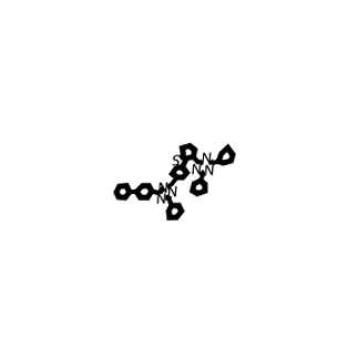 c1ccc(-c2ccc(-c3nc(-c4ccccc4)nc(-c4ccc5c(c4)sc4cccc(-c6nc(-c7ccccc7)nc(-c7ccccc7)n6)c45)n3)cc2)cc1